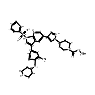 CC(C)(C)OC(=O)N1CCC(n2cc(-c3cnc4c(c3)c(-c3ccc(OC5CCOCC5)c(C#N)c3)cn4S(=O)(=O)c3ccccc3)cn2)CC1